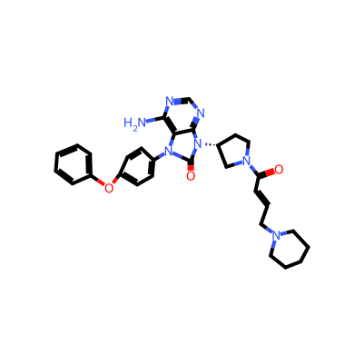 Nc1ncnc2c1n(-c1ccc(Oc3ccccc3)cc1)c(=O)n2[C@@H]1CCN(C(=O)/C=C/CN2CCCCC2)C1